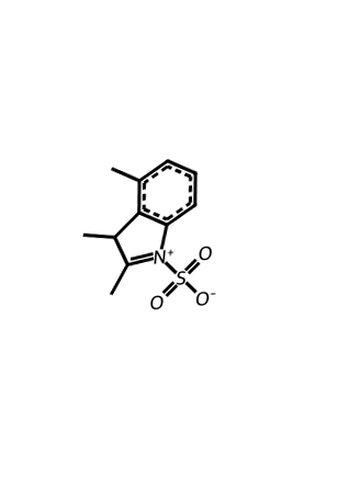 CC1=[N+](S(=O)(=O)[O-])c2cccc(C)c2C1C